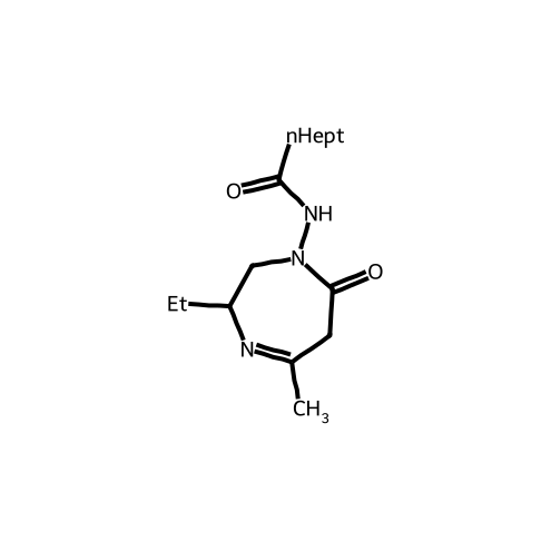 CCCCCCCC(=O)NN1CC(CC)N=C(C)CC1=O